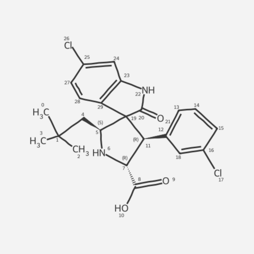 CC(C)(C)C[C@@H]1N[C@@H](C(=O)O)[C@H](c2cccc(Cl)c2)C12C(=O)Nc1cc(Cl)ccc12